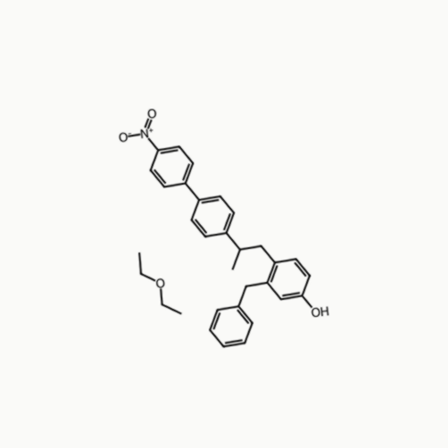 CC(Cc1ccc(O)cc1Cc1ccccc1)c1ccc(-c2ccc([N+](=O)[O-])cc2)cc1.CCOCC